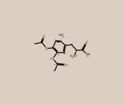 CC(=O)Oc1ccc(C[C@H](N)C(=O)O)cc1OC(C)=O.Cl